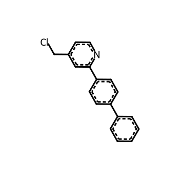 ClCc1ccnc(-c2ccc(-c3ccccc3)cc2)c1